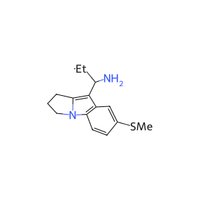 C[CH]C(N)c1c2n(c3ccc(SC)cc13)CCC2